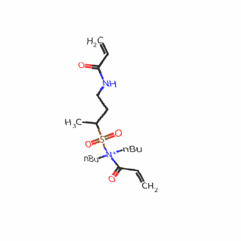 C=CC(=O)NCCC(C)S(=O)(=O)[N+](CCCC)(CCCC)C(=O)C=C